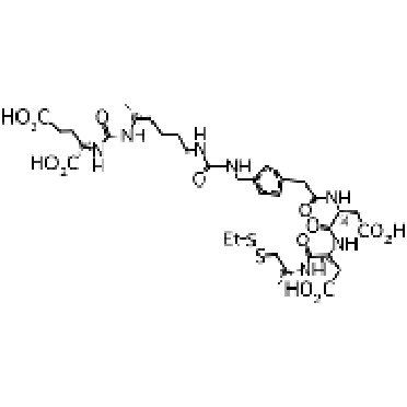 CCSSC[C@@H](C)NC(=O)[C@H](CC(=O)O)NC(=O)[C@H](CC(=O)O)NC(=O)Cc1ccc(CNC(=O)NCCCC[C@@H](C)NC(=O)N[C@@H](CCC(=O)O)C(=O)O)cc1